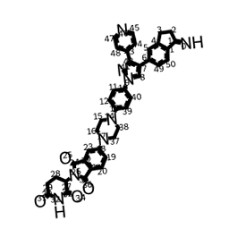 N=C1CCc2cc(-c3cn(-c4ccc(N5CCN(c6ccc7c(c6)C(=O)N(C6CCC(=O)NC6=O)C7=O)CC5)cc4)nc3-c3ccncc3)ccc21